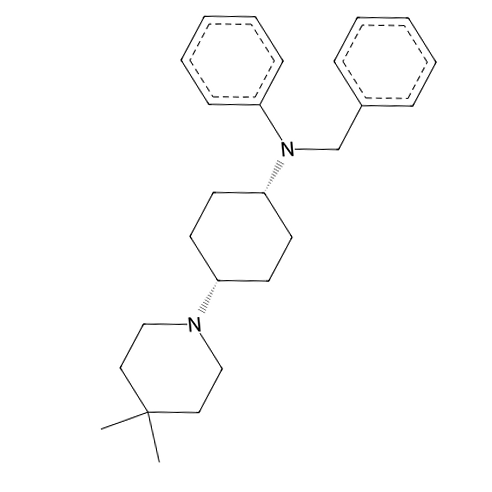 CC1(C)CCN([C@H]2CC[C@@H](N(Cc3ccccc3)c3ccccc3)CC2)CC1